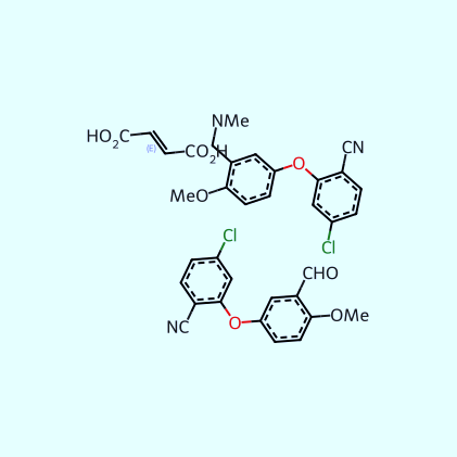 CNCc1cc(Oc2cc(Cl)ccc2C#N)ccc1OC.COc1ccc(Oc2cc(Cl)ccc2C#N)cc1C=O.O=C(O)/C=C/C(=O)O